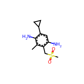 Cc1c(N)c(C2CC2)cc(N)c1CS(C)(=O)=O